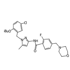 Cc1cc(NC(=O)c2ccc(CN3CCOCC3)cc2F)nn1Cc1cc(Cl)ccc1OCC(C)C